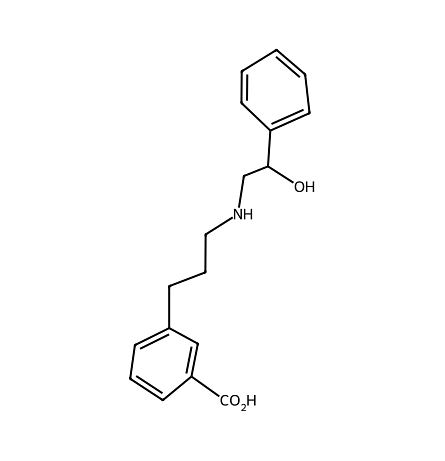 O=C(O)c1cccc(CCCNCC(O)c2ccccc2)c1